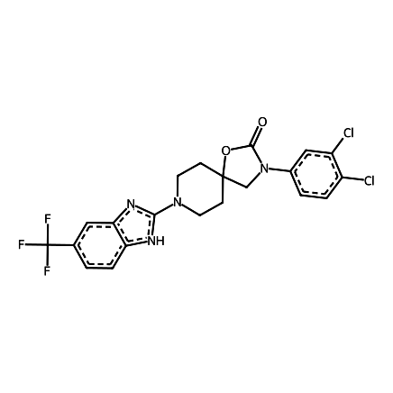 O=C1OC2(CCN(c3nc4cc(C(F)(F)F)ccc4[nH]3)CC2)CN1c1ccc(Cl)c(Cl)c1